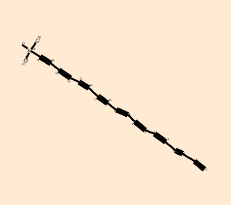 C#CC#CC#CC#CC#CC#CC#CC#CC#C[Si](C)(Cl)Cl